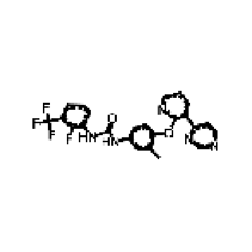 Cc1cc(NC(=O)Nc2cccc(C(F)(F)F)c2F)ccc1Oc1ncccc1-c1ccncn1